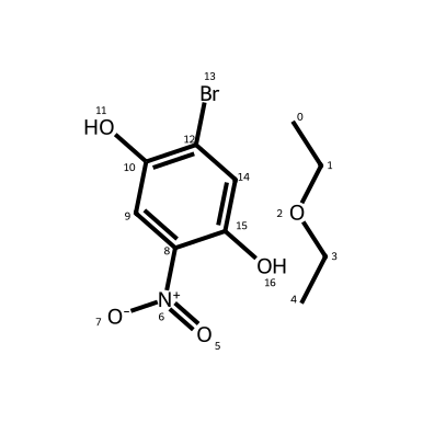 CCOCC.O=[N+]([O-])c1cc(O)c(Br)cc1O